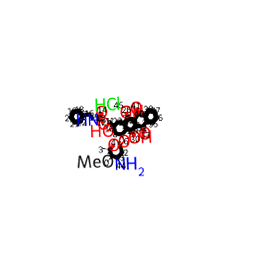 CO[C@@H]1[C@H](C)O[C@@H](O[C@H]2C[C@](O)(COC(=O)NCc3ccccc3)Cc3c(O)c4c(c(O)c32)C(=O)c2ccccc2C4=O)C[C@@H]1N.Cl